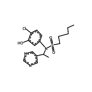 CCCCCS(=O)(=O)N(c1ccc(Cl)c(O)c1)C(C)c1cncnc1